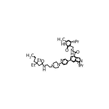 C=CCC(CC)(CC)CC(=O)NCCN1CCN(c2ccc(-c3cc(C(=O)NCc4c(CCC)cc(C)[nH]c4=O)c4cnn(C(C)C)c4c3)cn2)CC1